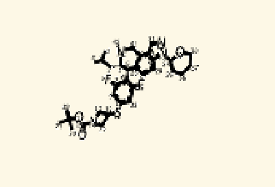 CC(C)C[C@H]1[C@H](c2c(F)cc(SC3CN(C(=O)OC(C)(C)C)C3)cc2F)c2ccc3c(cnn3C3CCCCO3)c2CN1C